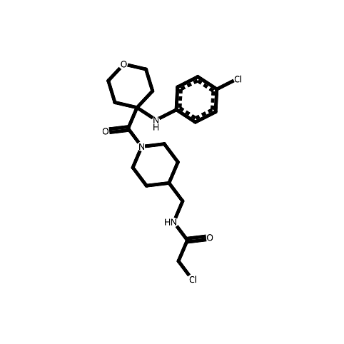 O=C(CCl)NCC1CCN(C(=O)C2(Nc3ccc(Cl)cc3)CCOCC2)CC1